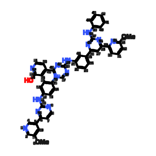 COc1cncc(-c2ccnc(Nc3ccc(-[n+]4cnc(Nc5cccc(-c6cc(-c7cccc(OC)n7)nc(Nc7ccccc7)n6)c5)nc4-c4ccnc(O)c4)cc3)n2)c1